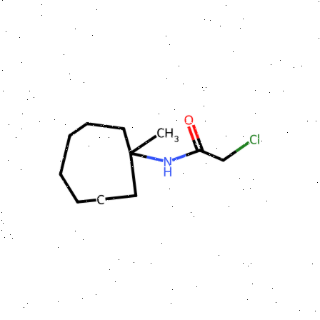 CC1(NC(=O)CCl)CCCCCCC1